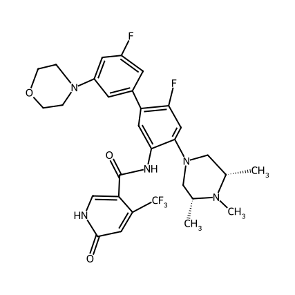 C[C@@H]1CN(c2cc(F)c(-c3cc(F)cc(N4CCOCC4)c3)cc2NC(=O)c2c[nH]c(=O)cc2C(F)(F)F)C[C@H](C)N1C